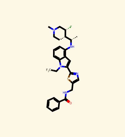 C[C@H](Nc1cccc2c1cc(-c1ncc(CNC(=O)c3ccccc3)s1)n2CC(F)(F)F)[C@@H]1CCN(C)C[C@@H]1F